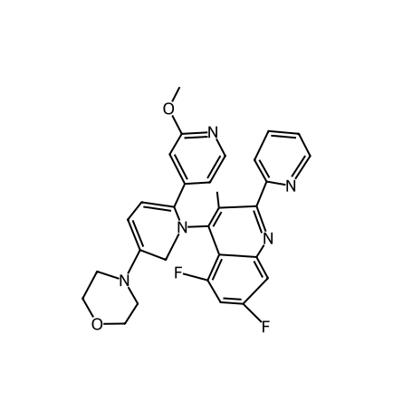 COc1cc(C2=CC=C(N3CCOCC3)CN2c2c(C)c(-c3ccccn3)nc3cc(F)cc(F)c23)ccn1